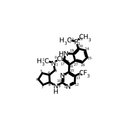 CN(C)CC1CCCC1Nc1ncc(C(F)(F)F)c(-c2c[nH]c3c(P(C)C)cccc23)n1